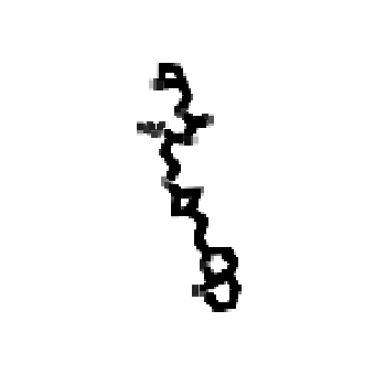 O=C(NC(CCOC1CC(CCc2ccc3c(n2)NCCC3)C1)C(=O)O)OCC1CCN1